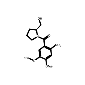 CCCCOc1cc(C(=O)N2CCC[C@H]2CO)c([N+](=O)[O-])cc1OC